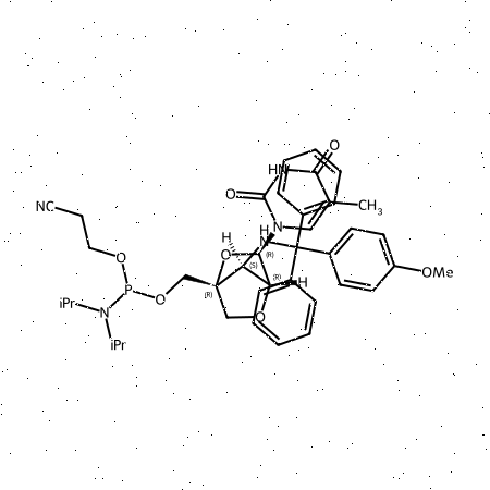 COc1ccc(C(N[C@H]2[C@H]3OC[C@]2(COP(OCCC#N)N(C(C)C)C(C)C)O[C@H]3n2cc(C)c(=O)[nH]c2=O)(c2ccccc2)c2ccccc2)cc1